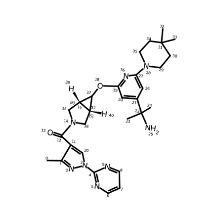 Cc1nn(-c2ncccn2)cc1C(=O)N1C[C@@H]2C(Oc3cc(C(C)(C)N)cc(N4CCC(C)(C)CC4)n3)[C@@H]2C1